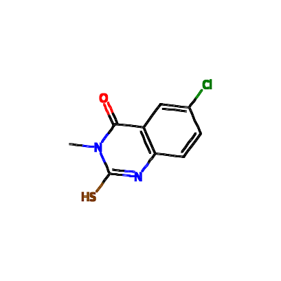 Cn1c(S)nc2ccc(Cl)cc2c1=O